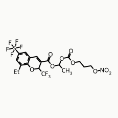 CCc1cc(S(F)(F)(F)(F)F)cc2c1OC(C(F)(F)F)C(C(=O)OC(C)OC(=O)OCCCO[N+](=O)[O-])=C2